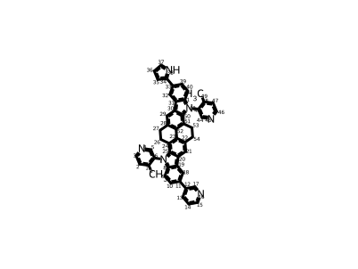 Cc1ccncc1-n1c2ccc(-c3cccnc3)cc2c2cc3c4c(c21)CCc1cc2c5cc(-c6ccc[nH]6)ccc5n(-c5cnccc5C)c2c(c1-4)CC3